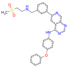 CS(=O)(=O)CCNCc1cccc(-c2cc3c(Nc4ccc(Oc5ccccc5)cc4)ncnc3cn2)c1